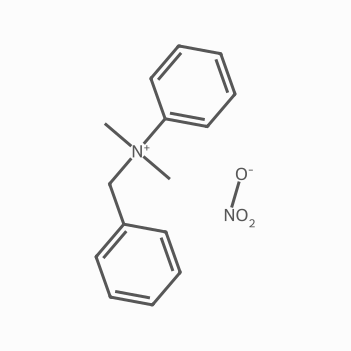 C[N+](C)(Cc1ccccc1)c1ccccc1.O=[N+]([O-])[O-]